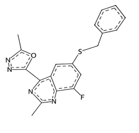 Cc1nc(-c2nnc(C)o2)c2cc(SCc3ccccc3)cc(F)c2n1